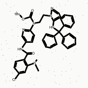 CN(C)c1cc(Cl)ccc1C(=O)Nc1ccc(N(CCn2nccc2NC(c2ccccc2)(c2ccccc2)c2ccccc2)C(=O)OC(C)(C)C)nc1